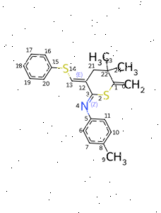 C=C1SC(=N\c2ccc(C)cc2)/C(=C/Sc2ccccc2)CC1(C)C